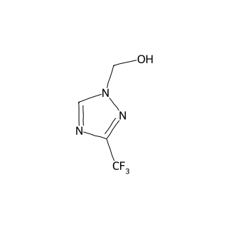 OCn1cnc(C(F)(F)F)n1